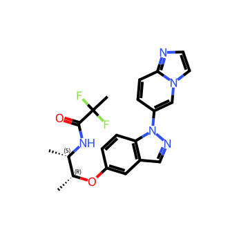 C[C@H](NC(=O)C(C)(F)F)[C@@H](C)Oc1ccc2c(cnn2-c2ccc3nccn3c2)c1